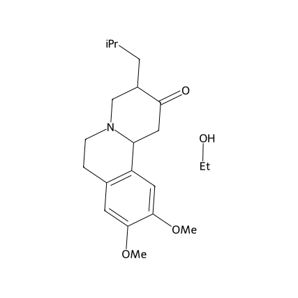 CCO.COc1cc2c(cc1OC)C1CC(=O)C(CC(C)C)CN1CC2